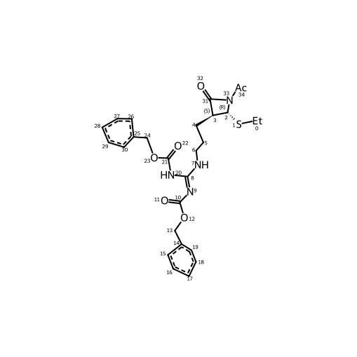 CCS[C@@H]1[C@@H](CCCNC(=NC(=O)OCc2ccccc2)NC(=O)OCc2ccccc2)C(=O)N1C(C)=O